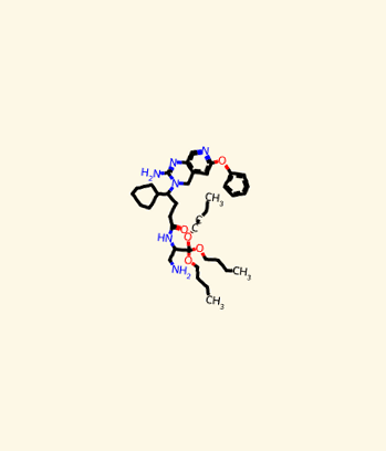 CCCCOC(OCCCC)(OCCCC)C(CN)NC(=O)CCC(C1CCCCC1)N1Cc2cc(Oc3ccccc3)ncc2N=C1N